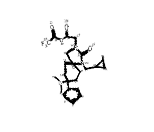 CN(C)C1(c2ccccc2)CCC2(CC1)CN(CC(=O)OC(=O)C(F)(F)F)C(=O)N2CC1CC1